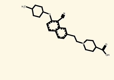 CC1CCC(Oc2ccc3ccc(CCN4CCC(C(=O)O)CC4)cc3c2C#N)CC1